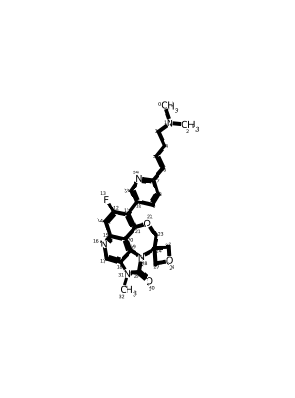 CN(C)CC/C=C/c1ccc(-c2c(F)cc3ncc4c5c3c2OCC2(COC2)n5c(=O)n4C)cn1